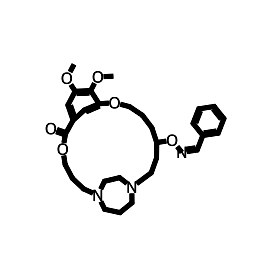 COc1cc2cc(c1OC)OCCCC(O/N=C\c1ccccc1)CCN1CCCN(CCCOC2=O)CC1